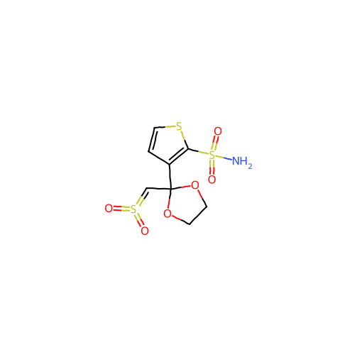 NS(=O)(=O)c1sccc1C1(C=S(=O)=O)OCCO1